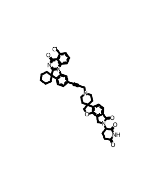 O=C1CCC(N2Cc3c(ccc4c3OCC43CCN(CC#Cc4ccc5c(c4)-n4c(nc(=O)c6c(Cl)cccc64)C54CCCCC4)CC3)C2=O)C(=O)N1